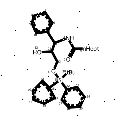 CCCCCCCC(=O)NC(c1ccccc1)C(O)CO[Si](c1ccccc1)(c1ccccc1)C(C)(C)C